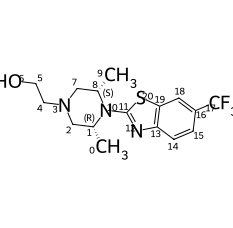 C[C@@H]1CN(CCO)C[C@H](C)N1c1nc2ccc(C(F)(F)F)cc2s1